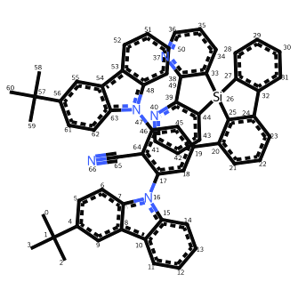 CC(C)(C)c1ccc2c(c1)c1ccccc1n2-c1cc(-c2cccc3c2[Si]2(c4ccccc4-3)c3cccnc3-c3ncccc32)cc(-n2c3ccccc3c3cc(C(C)(C)C)ccc32)c1C#N